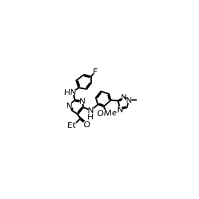 CCC(=O)c1cnc(Nc2ccc(F)cc2)nc1Nc1cccc(-c2ncn(C)n2)c1OC